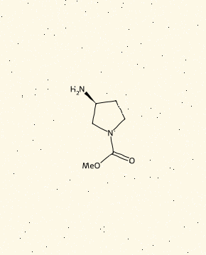 COC(=O)N1CC[C@H](N)C1